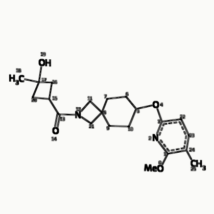 COc1nc(OC2CCC3(CC2)CN(C(=O)C2CC(C)(O)C2)C3)ccc1C